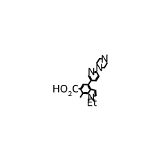 CCn1ccc2c(-c3ccc(N4CCN(C)CC4)nc3)cc(C(=O)O)c(C)c21